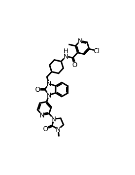 Cc1ncc(Cl)cc1C(=O)NC1CCC(Cn2c(=O)n(-c3ccnc(N4CCN(C)C4=O)c3)c3ccccc32)CC1